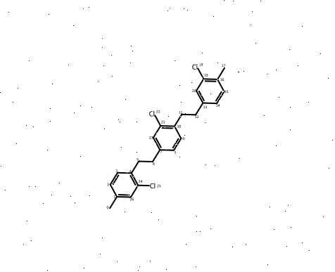 Cc1ccc(CCc2ccc(CCc3ccc(C)c(Cl)c3)c(Cl)c2)c(Cl)c1